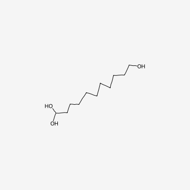 OCCCCCCCCCCC(O)O